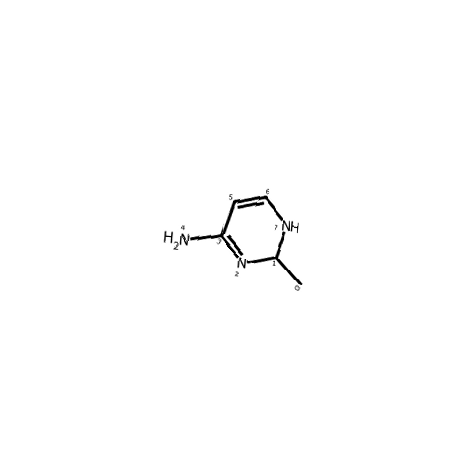 CC1N=C(N)C=CN1